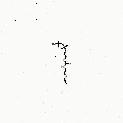 CC(C)(CC(O)(F)F)OCCOC(=O)NCCOC=O